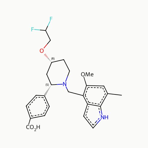 COc1cc(C)c2[nH]ccc2c1CN1CC[C@@H](OCC(F)F)C[C@H]1c1ccc(C(=O)O)cc1